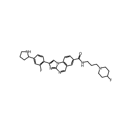 O=C(NCCCN1CCC(F)CC1)c1ccc2c(cnc3nc(-c4ccc(C5CCCN5)cc4F)cn32)c1